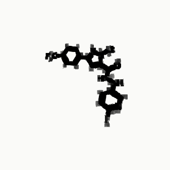 CCn1nc(-c2ccc(C(F)(F)F)cc2)cc1C(=O)NNc1ccc(F)nc1